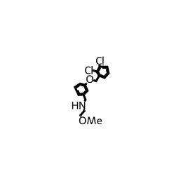 COCCNCc1cccc(OCc2cccc(Cl)c2Cl)c1